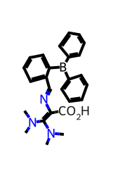 CN(C)C(=C(N=Cc1ccccc1B(c1ccccc1)c1ccccc1)C(=O)O)N(C)C